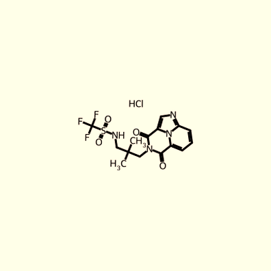 CC(C)(CNS(=O)(=O)C(F)(F)F)Cn1c(=O)c2cccc3ncc(c1=O)n32.Cl